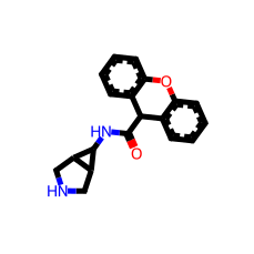 O=C(NC1C2CNCC21)C1c2ccccc2Oc2ccccc21